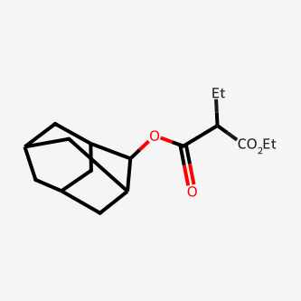 CCOC(=O)C(CC)C(=O)OC1C2CC3CC(C2)CC1C3